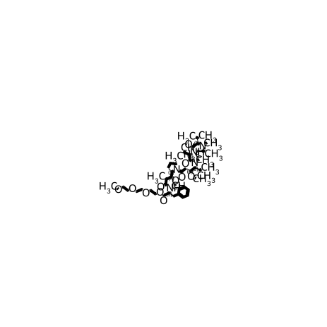 COCCOCCOCCOC(=O)[C@H](Cc1ccccc1)NC(=O)C(C)[C@@H](OC)[C@@H]1CCCN1C(=O)C[C@@H](OC)[C@H](C(C)C)N(C)C(=O)[C@@H](NC(=O)[C@H](C(C)C)N(C)C(C)C)C(C)C